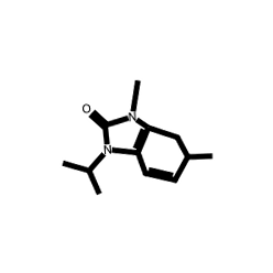 CC1C=Cc2c(n(C)c(=O)n2C(C)C)C1